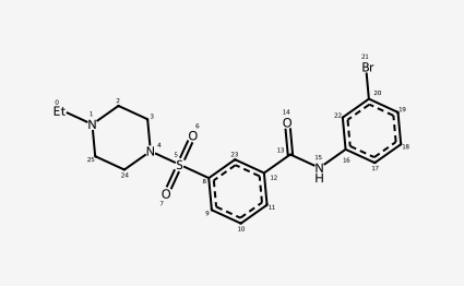 CCN1CCN(S(=O)(=O)c2cccc(C(=O)Nc3cccc(Br)c3)c2)CC1